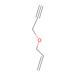 C#CCOCC=C